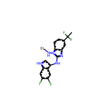 CCNn1c(Nc2c[nH]c3cc(F)c(F)cc23)nc2cc(C(C)(F)F)ccc21